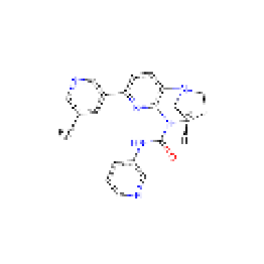 O=C(Nc1cccnc1)N1c2nc(-c3cncc(C(F)(F)F)c3)ccc2N2CC[C@H]1C2